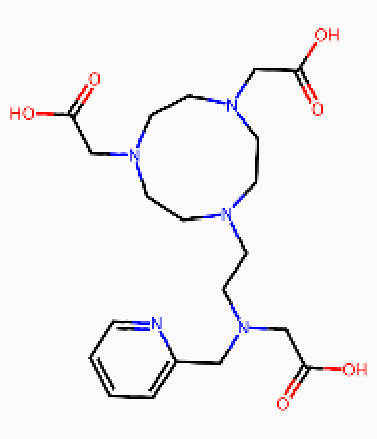 O=C(O)CN1CCN(CCN(CC(=O)O)Cc2ccccn2)CCN(CC(=O)O)CC1